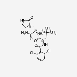 CC(C)(C)C[C@H](NC(=O)c1c(Cl)cccc1Cl)C(=O)N[C@@H](C[C@@H]1CCNC1=O)C(N)=O